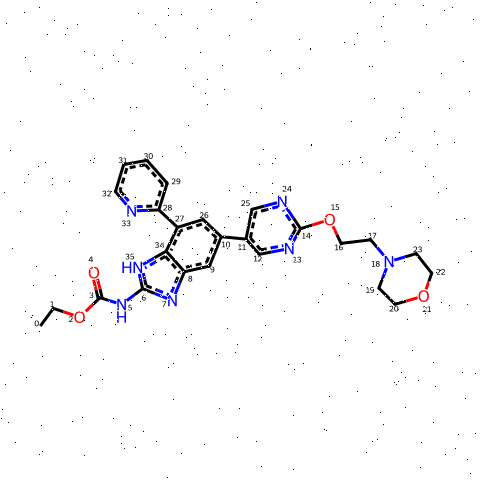 CCOC(=O)Nc1nc2cc(-c3cnc(OCCN4CCOCC4)nc3)cc(-c3ccccn3)c2[nH]1